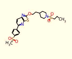 CCCS(=O)(=O)N1CCC(CCOc2nc3ccc(-c4ccc(S(C)(=O)=O)cc4)nc3s2)CC1